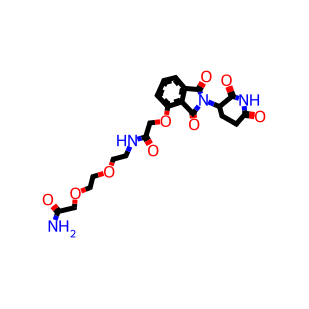 NC(=O)COCCOCCNC(=O)COc1cccc2c1C(=O)N(C1CCC(=O)NC1=O)C2=O